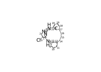 Clc1cnc2nc1Nc1cccc(c1)CCCC1C=CC=C(C1)N2